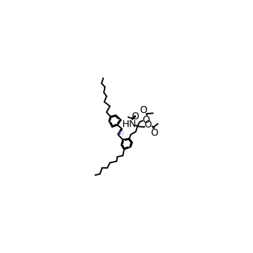 CCCCCCCCc1ccc(/C=C/c2cc(CCCCCCCC)ccc2CCC(COC(C)=O)(COC(C)=O)NC(C)=O)cc1